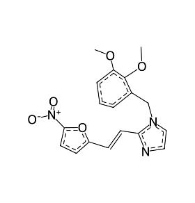 COc1cccc(Cn2ccnc2C=Cc2ccc([N+](=O)[O-])o2)c1OC